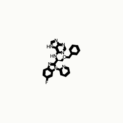 Fc1ccc2nc([C@H](COCc3ccccc3)Nc3ncnc4nc[nH]c34)n(-c3ccccn3)c2c1